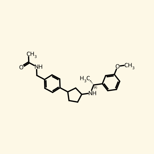 COc1cccc([C@@H](C)NC2CCC(c3ccc(CNC(C)=O)cc3)C2)c1